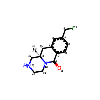 O=C1c2ccc(CF)cc2C[C@@H]2CNCCN12